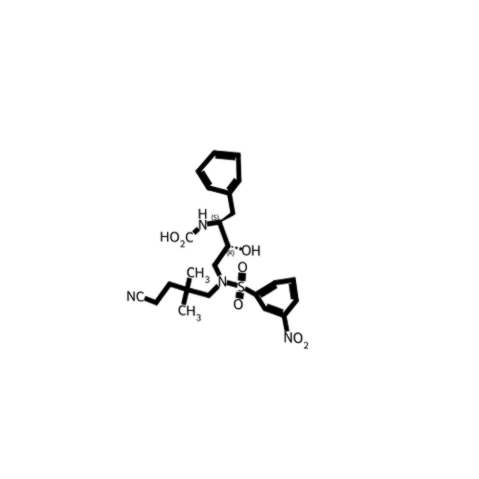 CC(C)(CCC#N)CN(C[C@@H](O)[C@H](Cc1ccccc1)NC(=O)O)S(=O)(=O)c1cccc([N+](=O)[O-])c1